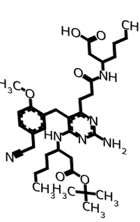 CCCCC(CC(=O)O)NC(=O)CCc1nc(N)nc(NC(CCCC)CC(=O)OC(C)(C)C)c1Cc1cc(CC#N)ccc1OC